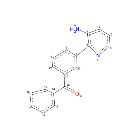 Nc1cccnc1-c1cccc(C(=O)c2ccccc2)c1